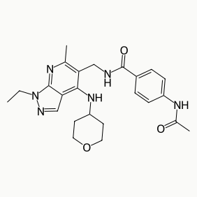 CCn1ncc2c(NC3CCOCC3)c(CNC(=O)c3ccc(NC(C)=O)cc3)c(C)nc21